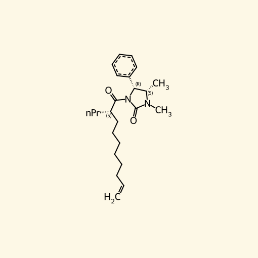 C=CCCCCCC[C@H](CCC)C(=O)N1C(=O)N(C)[C@@H](C)[C@H]1c1ccccc1